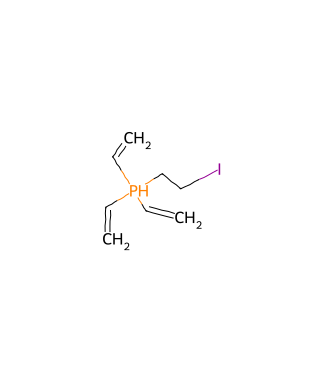 C=C[PH](C=C)(C=C)CCI